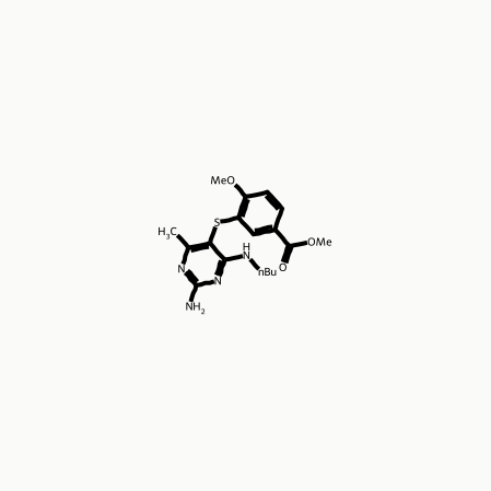 CCCCNc1nc(N)nc(C)c1Sc1cc(C(=O)OC)ccc1OC